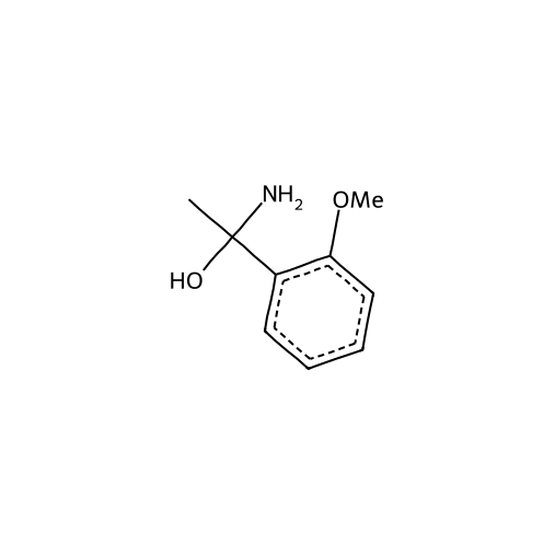 COc1ccccc1C(C)(N)O